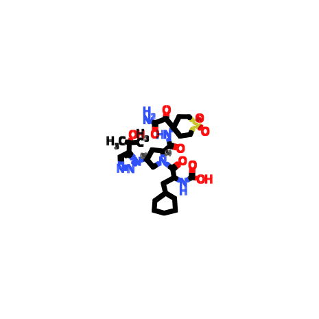 CC(C)(O)c1cnnn1[C@H]1C[C@@H](C(=O)NC2(C(=O)C(N)=O)CCS(=O)(=O)CC2)N(C(=O)C(CC2CCCCC2)NC(=O)O)C1